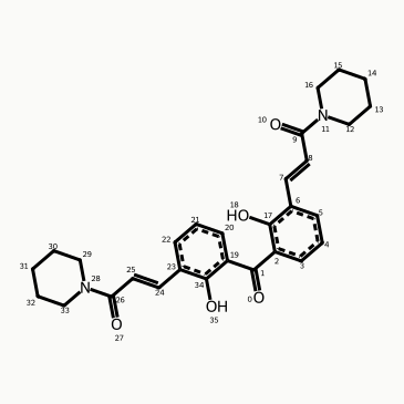 O=C(c1cccc(/C=C/C(=O)N2CCCCC2)c1O)c1cccc(/C=C/C(=O)N2CCCCC2)c1O